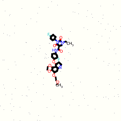 CCn1cc(C(=O)Nc2ccc(Oc3ccnc4cc(OCCOC)c5c(c34)OCCO5)c(F)c2)c(=O)n(-c2ccc(F)cc2)c1=O